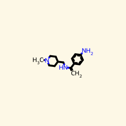 C=C(NCC1CCN(C)CC1)c1ccc(N)cc1